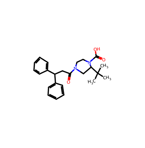 CC(C)(C)C1CN(C(=O)CC(c2ccccc2)c2ccccc2)CCN1C(=O)O